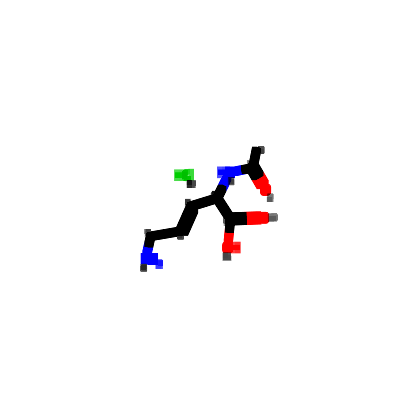 CC(=O)NC(C=CCN)C(=O)O.Cl